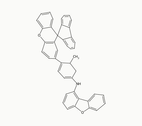 CC1CC(Nc2cccc3oc4ccccc4c23)=CC=C1c1ccc2c(c1)C1(c3ccccc3O2)c2ccccc2-c2ccccc21